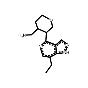 CCc1cnc(C2COCCC2CN)c2cn[nH]c12